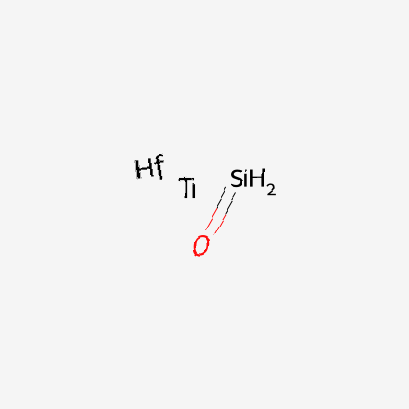 O=[SiH2].[Hf].[Ti]